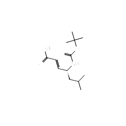 CC(C)C[C@@H](C=CC(=O)O)NC(=O)OC(C)(C)C